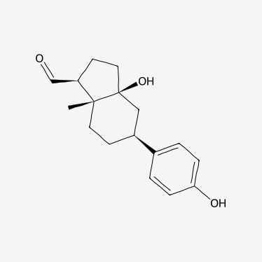 C[C@]12CC[C@H](c3ccc(O)cc3)C[C@@]1(O)CC[C@@H]2C=O